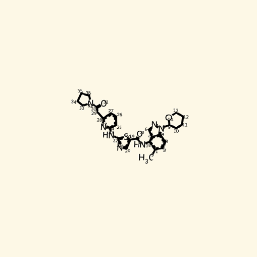 Cc1ccc2c(cnn2C2CCCCO2)c1NC(=O)c1cnc(Nc2cccc(CC(=O)N3CCCC3)n2)s1